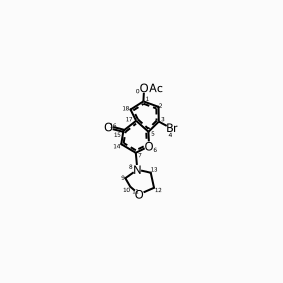 CC(=O)Oc1cc(Br)c2oc(N3CCOCC3)cc(=O)c2c1